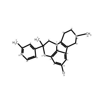 Cc1cc(C2(C)Cn3c4c(c5cc(Cl)cc(c53)O2)CN(C)CC4)ccn1